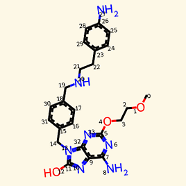 COCCOc1nc(N)c2nc(O)n(Cc3ccc(CNCCc4ccc(N)cc4)cc3)c2n1